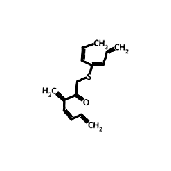 C=C/C=C\C(=C)C(=O)CSC(/C=C\C)=C/C=C